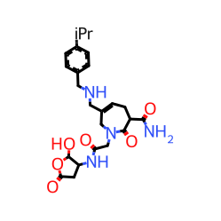 CC(C)c1ccc(CNCC2=CCC(C(N)=O)C(=O)N(CC(=O)NC3CC(=O)OC3O)C2)cc1